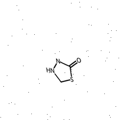 O=C1[N]NCS1